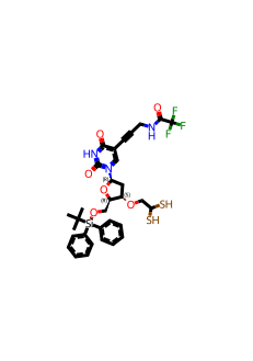 CC(C)(C)[Si](OC[C@H]1O[C@@H](n2cc(C#CCNC(=O)C(F)(F)F)c(=O)[nH]c2=O)C[C@@H]1OCC(S)S)(c1ccccc1)c1ccccc1